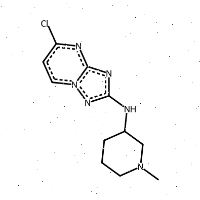 CN1CCCC(Nc2nc3nc(Cl)ccn3n2)C1